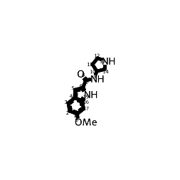 COc1ccc2cc(C(=O)NC3CCNC3)[nH]c2c1